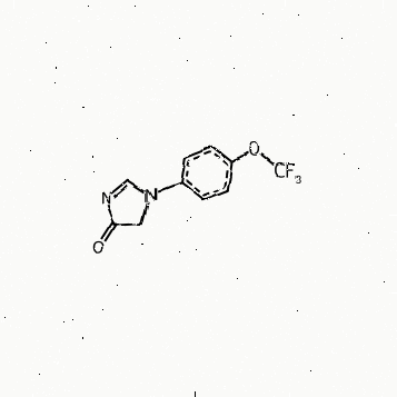 O=C1CN(c2ccc(OC(F)(F)F)cc2)C=N1